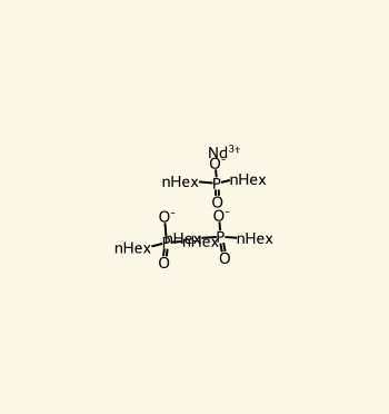 CCCCCCP(=O)([O-])CCCCCC.CCCCCCP(=O)([O-])CCCCCC.CCCCCCP(=O)([O-])CCCCCC.[Nd+3]